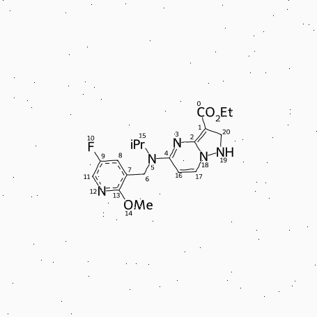 CCOC(=O)C1=C2N=C(N(Cc3cc(F)cnc3OC)C(C)C)C=CN2NC1